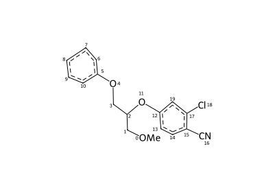 COCC(COc1ccccc1)Oc1ccc(C#N)c(Cl)c1